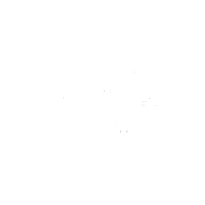 CCSCCOC(=O)C(=Cc1ccccc1C(F)(F)F)C(C)=O